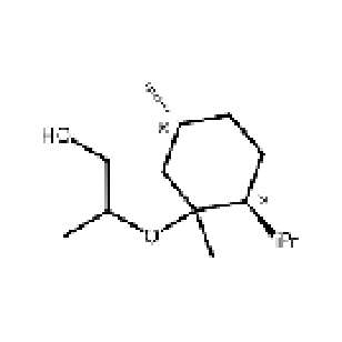 CC(CO)OC1(C)C[C@H](C)CC[C@H]1C(C)C